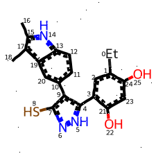 CCc1cc(-c2[nH]nc(S)c2-c2ccc3[nH]c(C)c(C)c3c2)c(O)cc1O